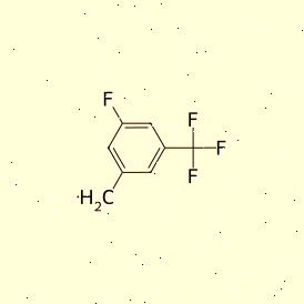 [CH2]c1cc(F)cc(C(F)(F)F)c1